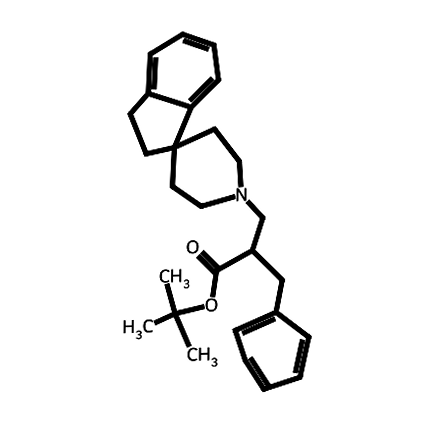 CC(C)(C)OC(=O)C(Cc1ccccc1)CN1CCC2(CCc3ccccc32)CC1